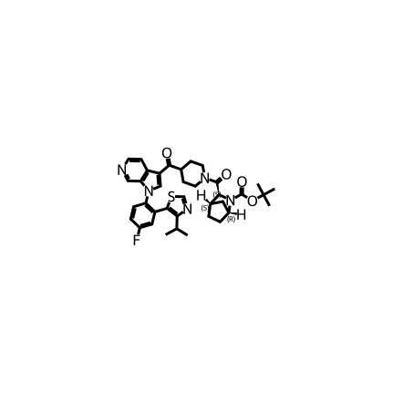 CC(C)c1ncsc1-c1cc(F)ccc1-n1cc(C(=O)C2CCN(C(=O)[C@@H]3[C@H]4CC[C@H](C4)N3C(=O)OC(C)(C)C)CC2)c2ccncc21